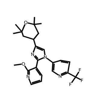 COc1ncccc1-c1nc(C2CC(C)(C)OC(C)(C)C2)cn1-c1ccc(C(F)(F)F)nc1